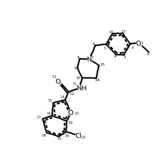 COc1ccc(CN2CCC(NC(=O)c3cc4cccc(Cl)c4o3)CC2)cc1